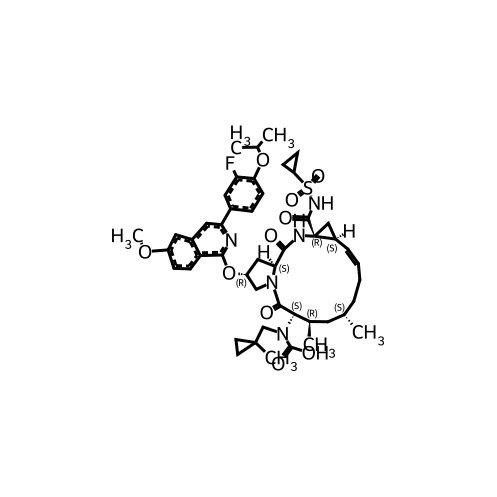 COc1ccc2c(O[C@@H]3C[C@H]4C(=O)N[C@]5(C(=O)NS(=O)(=O)C6CC6)C[C@H]5C=CCC[C@H](C)C[C@@H](C)[C@H](N(CC5(C)CC5)C(=O)O)C(=O)N4C3)nc(-c3ccc(OC(C)C)c(F)c3)cc2c1